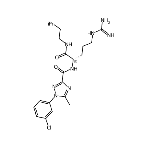 Cc1nc(C(=O)N[C@@H](CCCNC(=N)N)C(=O)NCCC(C)C)nn1-c1cccc(Cl)c1